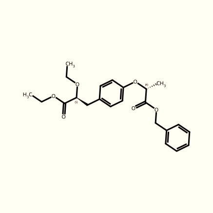 CCOC(=O)[C@H](Cc1ccc(O[C@H](C)C(=O)OCc2ccccc2)cc1)OCC